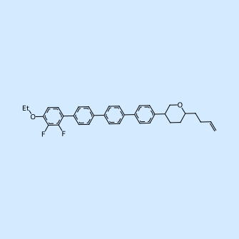 C=CCCC1CCC(c2ccc(-c3ccc(-c4ccc(-c5ccc(OCC)c(F)c5F)cc4)cc3)cc2)CO1